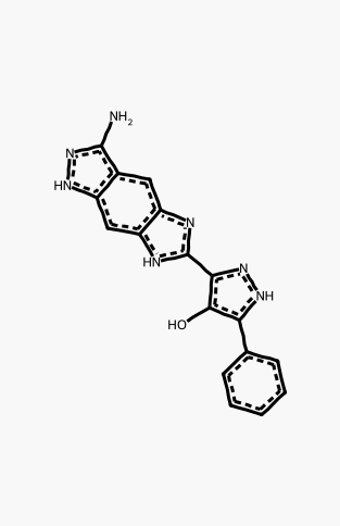 Nc1n[nH]c2cc3[nH]c(-c4n[nH]c(-c5ccccc5)c4O)nc3cc12